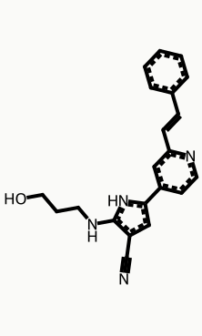 N#Cc1cc(-c2ccnc(C=Cc3ccccc3)c2)[nH]c1NCCCO